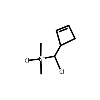 C[N+](C)(Cl)C(Cl)C1C=CC1